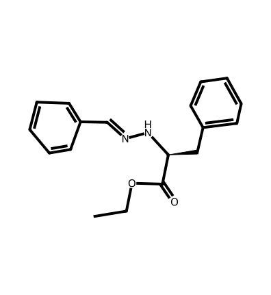 CCOC(=O)[C@H](Cc1ccccc1)NN=Cc1ccccc1